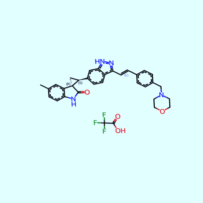 Cc1ccc2c(c1)[C@]1(C[C@H]1c1ccc3c(/C=C/c4ccc(CN5CCOCC5)cc4)n[nH]c3c1)C(=O)N2.O=C(O)C(F)(F)F